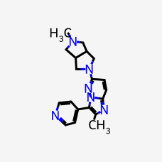 Cc1nc2ccc(N3CC4CN(C)CC4C3)nn2c1-c1ccncc1